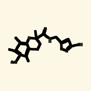 CC(=O)Oc1c(C)c(C)c2c(c1C)CCC(C)(C(=O)NCc1cc(O)no1)O2